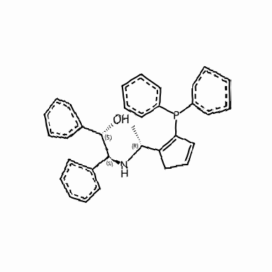 C[C@@H](N[C@@H](c1ccccc1)[C@@H](O)c1ccccc1)C1=C(P(c2ccccc2)c2ccccc2)C=CC1